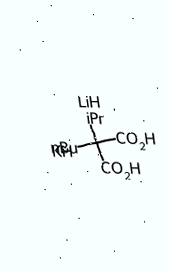 CCCCC(C(=O)O)(C(=O)O)C(C)C.[KH].[LiH]